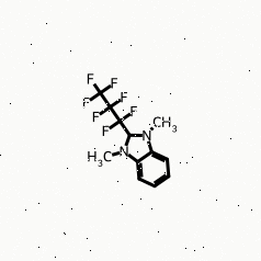 CN1c2ccccc2N(C)C1C(F)(F)C(F)(F)C(F)(F)F